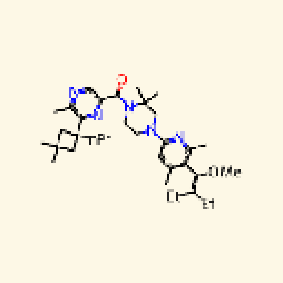 CCCC1(c2nc(C(=O)N3CCN(c4cc(C)c(C(OC)=C(CC)CC)c(C)n4)CC3(C)C)cnc2C)CC(C)(C)C1